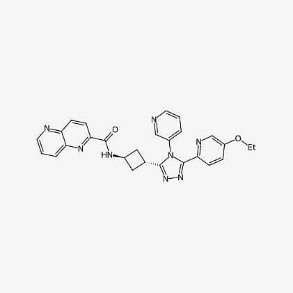 CCOc1ccc(-c2nnc([C@H]3C[C@H](NC(=O)c4ccc5ncccc5n4)C3)n2-c2cccnc2)nc1